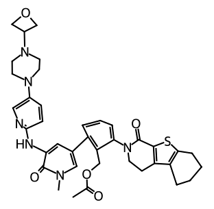 CC(=O)OCc1c(-c2cc(Nc3ccc(N4CCN(C5COC5)CC4)cn3)c(=O)n(C)c2)cccc1N1CCc2c(sc3c2CCCC3)C1=O